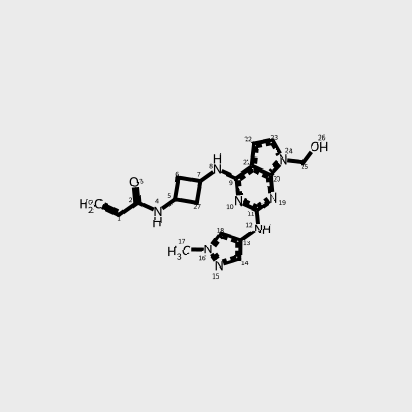 C=CC(=O)NC1CC(Nc2nc(Nc3cnn(C)c3)nc3c2ccn3CO)C1